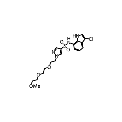 COCCOCCOCCn1cc(S(=O)(=O)Nc2cccc3c(Cl)c[nH]c23)cn1